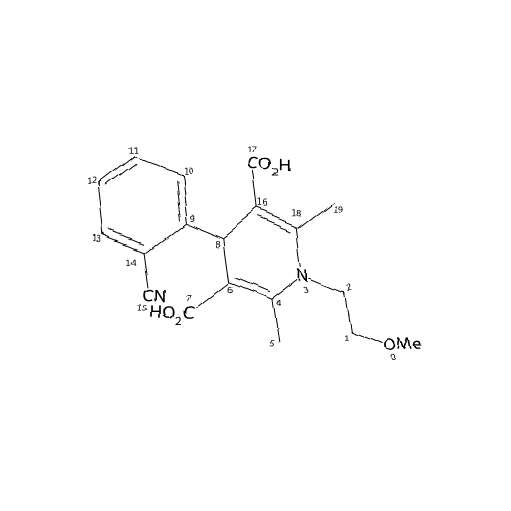 COCCN1C(C)=C(C(=O)O)C(c2ccccc2C#N)C(C(=O)O)=C1C